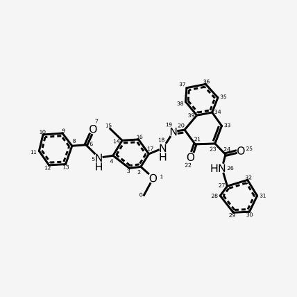 COc1cc(NC(=O)c2ccccc2)c(C)cc1N/N=C1\C(=O)C(C(=O)Nc2ccccc2)=Cc2ccccc21